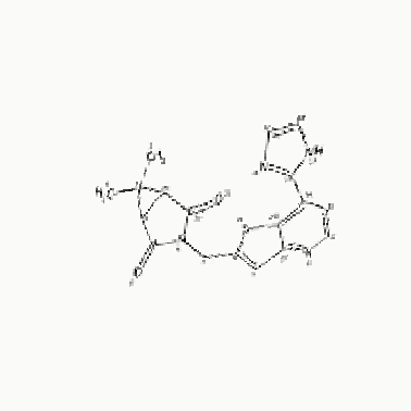 CC1(C)C2C(=O)N(Cc3cc4nccc(-c5ncc[nH]5)c4s3)C(=O)C21